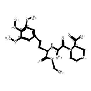 CCOC(=O)C(CCc1cc(OC)c(OC)c(OC)c1)NC(C)C(=O)N1CCSCC1C(=O)O